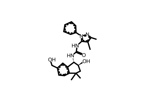 Cc1nn(-c2ccccc2)c(NC(=O)N[C@H]2c3cc(CO)ccc3C(C)(C)C[C@@H]2O)c1C